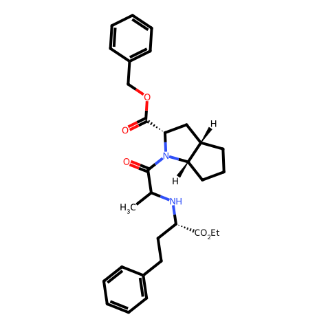 CCOC(=O)[C@H](CCc1ccccc1)NC(C)C(=O)N1[C@H](C(=O)OCc2ccccc2)C[C@@H]2CCC[C@@H]21